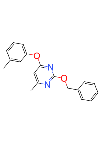 Cc1cccc(Oc2cc(C)nc(OCc3ccccc3)n2)c1